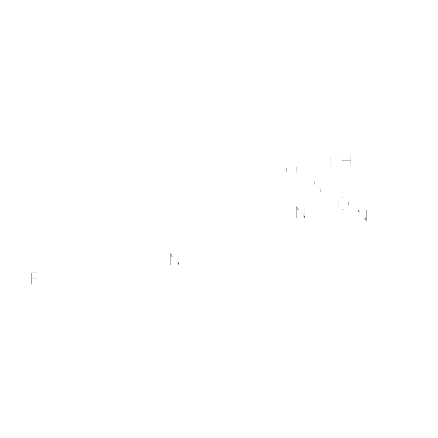 CS(=O)(=O)N(Cc1ccccn1)Cc1ccccc1C1CCN(Cc2ccc(F)cc2)CC1